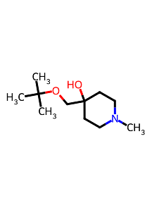 CN1CCC(O)(COC(C)(C)C)CC1